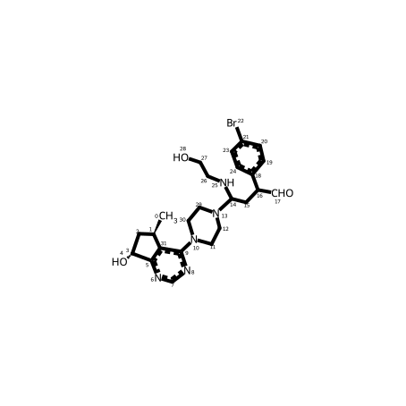 C[C@@H]1C[C@@H](O)c2ncnc(N3CCN(C(CC(C=O)c4ccc(Br)cc4)NCCO)CC3)c21